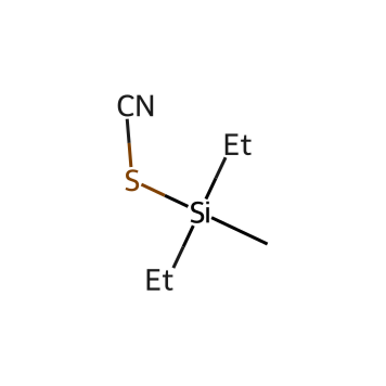 CC[Si](C)(CC)SC#N